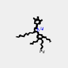 CCCCCCCCC1=C(c2cc(CCCC)c(CCCC)c(CCCC)c2)[N+](=[N-])C(c2cc(C)c(C)c(C)c2)=C1.[Pd]